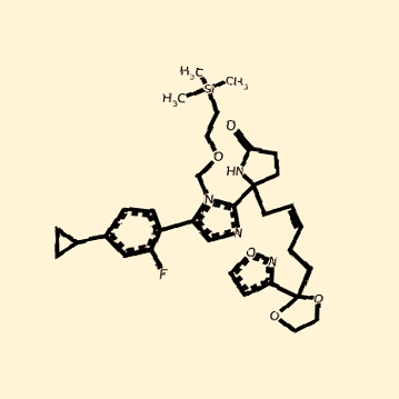 C[Si](C)(C)CCOCn1c(-c2ccc(C3CC3)cc2F)cnc1C1(CC=CCCC2(c3ccon3)OCCO2)CCC(=O)N1